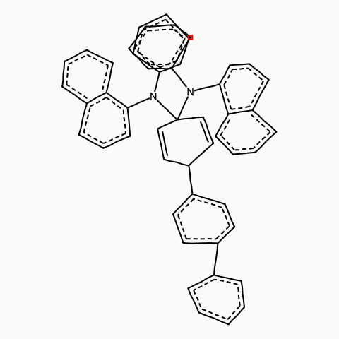 C1=CC(N(c2ccccc2)c2cccc3ccccc23)(N(c2ccccc2)c2cccc3ccccc23)C=CC1c1ccc(-c2ccccc2)cc1